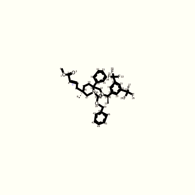 COC(=O)/C=C/C[C@@]1(C)CCC(CO[C@H](C)c2cc(C(F)(F)F)cc(C(F)(F)F)c2)(c2ccccc2)N(C(=O)OCc2ccccc2)C1